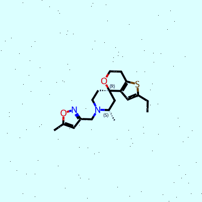 CCc1cc2c(s1)CCO[C@@]21CCN(Cc2cc(C)on2)[C@@H](C)C1